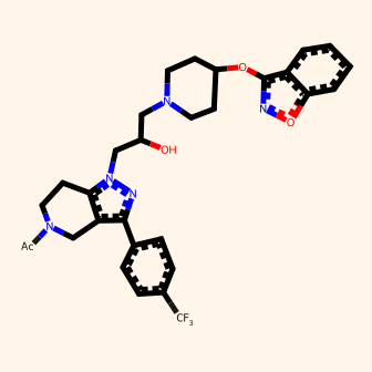 CC(=O)N1CCc2c(c(-c3ccc(C(F)(F)F)cc3)nn2CC(O)CN2CCC(Oc3noc4ccccc34)CC2)C1